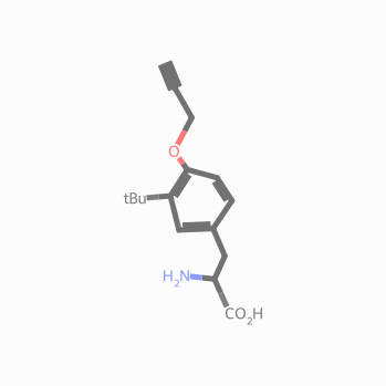 C#CCOc1ccc(CC(N)C(=O)O)cc1C(C)(C)C